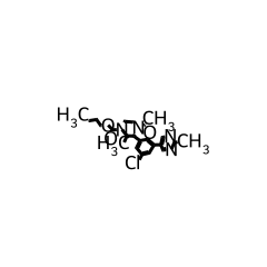 CCCCOC(=O)N1CCN(C(C)=O)C(c2cc(Cl)cc(-c3cnc(C)nc3)c2)C1C